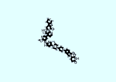 COc1ncc(-c2ccnc(N3CCc4c(sc5c4CCCC5)C3=O)c2[C@H](C)O)cc1Nc1ccc(N2CCN(C3CCN(c4ccc5c(c4)CN([C@H]4CCC(=O)NC4=O)C5=O)CC3)C[C@@H]2C)cn1